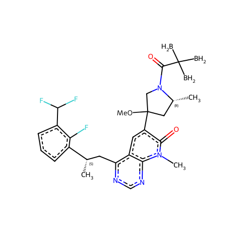 BC(B)(B)C(=O)N1CC(OC)(c2cc3c(C[C@H](C)c4cccc(C(F)F)c4F)ncnc3n(C)c2=O)C[C@H]1C